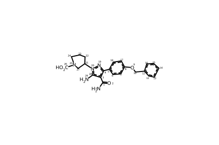 NC(=O)c1c(-c2ccc(OCc3ccccc3)cc2)nn(C2CCCN(C(=O)O)C2)c1N